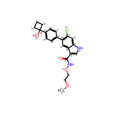 COCCONC(=O)c1c[nH]c2cc(Cl)c(-c3ccc(C4(O)CCC4)cc3)cc12